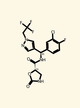 O=C1NC[C@@H](C(=O)N[C@H](c2ccc(F)c(Cl)c2)c2cnn(CC(F)(F)F)c2)O1